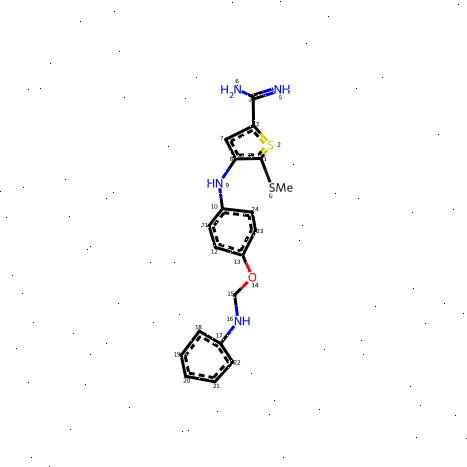 CSc1sc(C(=N)N)cc1Nc1ccc(OCNc2ccccc2)cc1